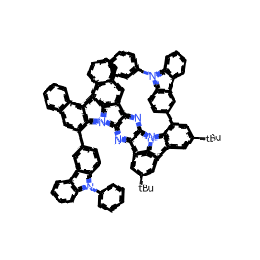 CC(C)(C)c1cc(-c2ccc3c(c2)c2ccccc2n3-c2ccccc2)c2c(c1)c1cc(C(C)(C)C)cc3c4nc5c(nc4n2c13)c1cc2ccccc2c2c3c4ccccc4cc(-c4ccc6c(c4)c4ccccc4n6-c4ccccc4)c3n5c12